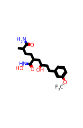 CC(CCC(CC(O)[CH]Cc1cccc(OC(F)(F)F)c1)C(=O)NO)C(N)=O